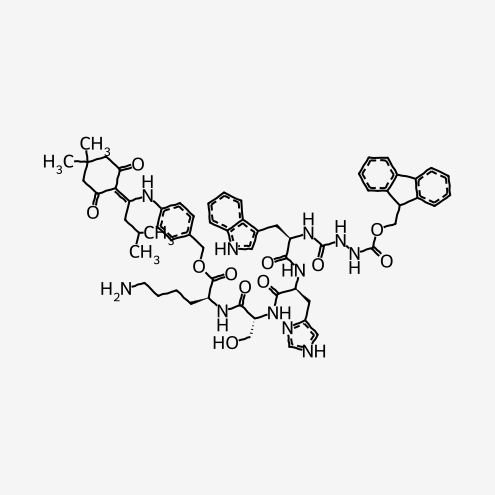 CC(C)CC(Nc1ccc(COC(=O)[C@H](CCCCN)NC(=O)[C@@H](CO)NC(=O)[C@H](Cc2c[nH]cn2)NC(=O)[C@@H](Cc2c[nH]c3ccccc23)NC(=O)NNC(=O)OCC2c3ccccc3-c3ccccc32)cc1)=C1C(=O)CC(C)(C)CC1=O